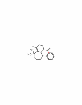 C=C(C)[C@H]1CCC(C)=C2C1C(c1ccccc1)C=CCC2(C#N)C#N